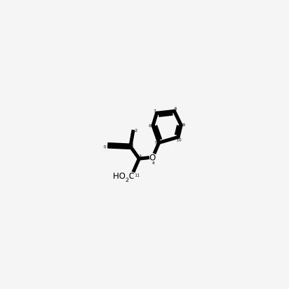 C=C(C)C(Oc1ccccc1)C(=O)O